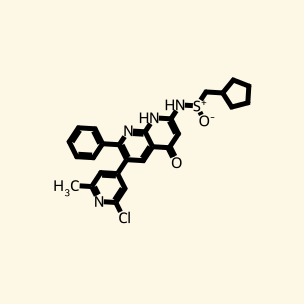 Cc1cc(-c2cc3c(=O)cc(N[S+]([O-])CC4CCCC4)[nH]c3nc2-c2ccccc2)cc(Cl)n1